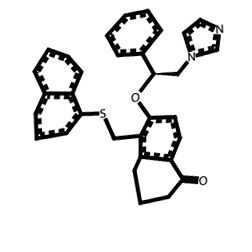 O=C1CCCc2c1ccc(O[C@H](Cn1ccnc1)c1ccccc1)c2CSc1cccc2ccccc12